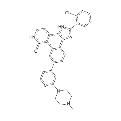 CN1CCN(c2cc(-c3ccc4c(c3)c3c(=O)[nH]ccc3c3[nH]c(-c5ccccc5Cl)nc43)ccn2)CC1